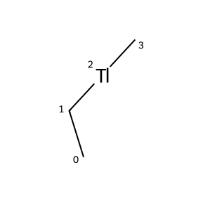 C[CH2][Tl][CH3]